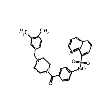 Cc1ccc(CN2CCN(C(=O)c3ccc(NS(=O)(=O)c4cccc5cccnc45)cc3)CC2)cc1C